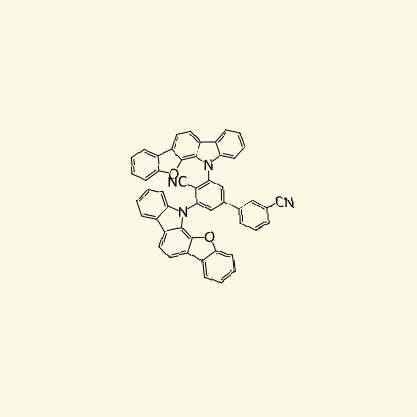 N#Cc1cccc(-c2cc(-n3c4ccccc4c4ccc5c6ccccc6oc5c43)c(C#N)c(-n3c4ccccc4c4ccc5c6ccccc6oc5c43)c2)c1